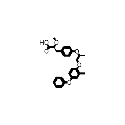 CO[C@@H](Cc1ccc(O[C@@H](C)COc2ccc(Oc3ccccc3)cc2C)cc1)C(=O)O